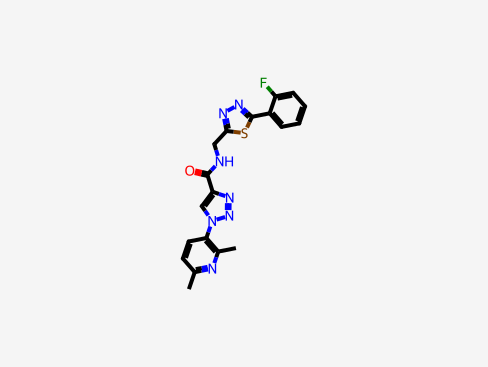 Cc1ccc(-n2cc(C(=O)NCc3nnc(-c4ccccc4F)s3)nn2)c(C)n1